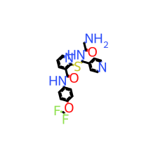 NCC(=O)NC(Sc1ncccc1C(=O)Nc1ccc(OC(F)F)cc1)c1ccncc1